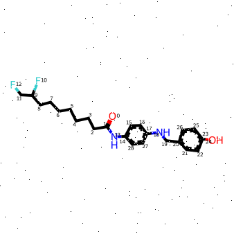 O=C(CCCCCCCC(F)CF)Nc1ccc(NCc2ccc(O)cc2)cc1